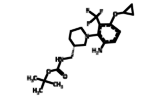 CC(C)(C)OC(=O)NC[C@@H]1CCCN(c2c(N)ccc(OC3CC3)c2C(F)(F)F)C1